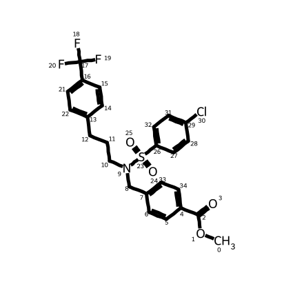 COC(=O)c1ccc(CN(CCCc2ccc(C(F)(F)F)cc2)S(=O)(=O)c2ccc(Cl)cc2)cc1